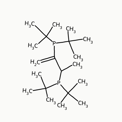 C=C(C(C)P(C(C)(C)C)C(C)(C)C)P(C(C)(C)C)C(C)(C)C